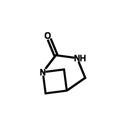 O=C1NCC2CN1C2